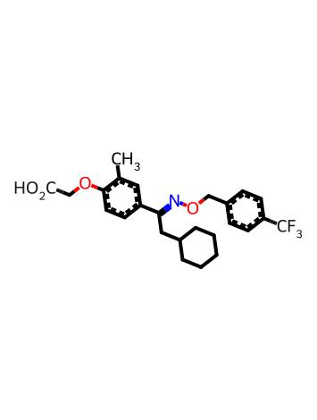 Cc1cc(C(CC2CCCCC2)=NOCc2ccc(C(F)(F)F)cc2)ccc1OCC(=O)O